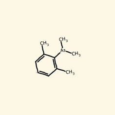 Cc1c[c]cc(C)c1[As](C)C